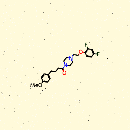 COc1ccc(CCCC(=O)N2CCN(CCOc3ccc(F)cc3F)CC2)cc1